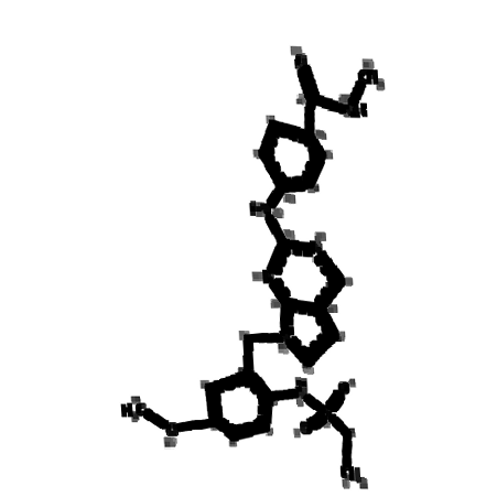 CCS(=O)(=O)Nc1ccc(OC)cc1Cn1ccc2cnc(Nc3ccc(C(=O)NC)cc3)nc21